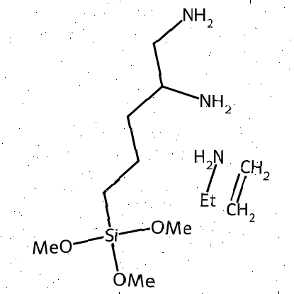 C=C.CO[Si](CCCC(N)CN)(OC)OC.[CH2]CN